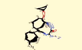 Cc1cccc(C2=NC(N)C(=O)Nc3c(OC4CC4)cccc32)c1